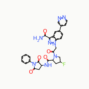 NC(=O)c1nn(CC(=O)N2CC(F)CC2C(=O)NC2CC(=O)N(c3ccccc3)C2=O)c2ccc(-c3ccnnc3)cc12